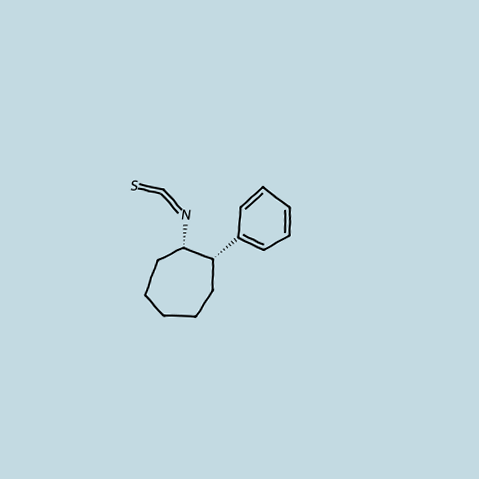 S=C=N[C@H]1CCCCC[C@H]1c1ccccc1